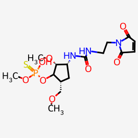 COC[C@H]1C[C@@H](NC(=O)NCCN2C(=O)C=CC2=O)[C@@H](OC)C1OP(O)(=S)OC